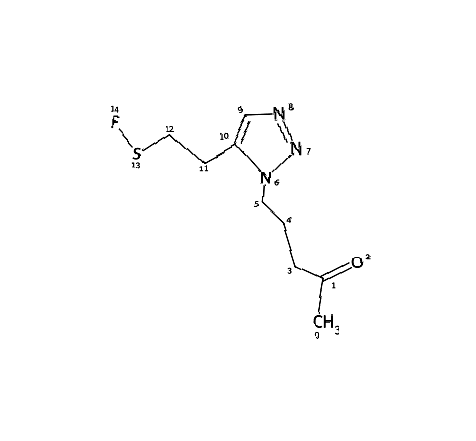 CC(=O)CCCn1nncc1CCSF